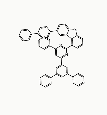 c1ccc(-c2ccc(-c3ccc4sc5cccc(-c6nc(-c7ccccc7)cc(-c7cc(-c8ccccc8)cc(-c8ccccc8)c7)n6)c5c4c3)cc2)cc1